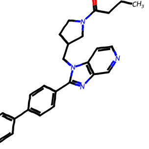 CCCC(=O)N1CCC(Cn2c(-c3ccc(-c4ccccc4)cc3)nc3cnccc32)C1